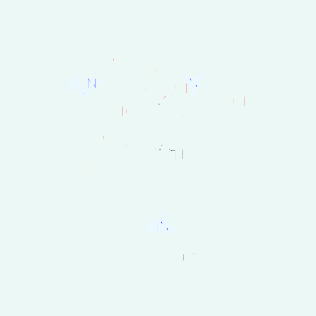 CC(C)CNCc1ccc(O)c2c1C[C@H]1C[C@@H](C(CO)N(C)C)[C@@](O)(C(=O)C(C)C(N)=O)C(O)=C1C2=O